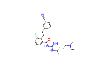 CCN(CC)CCCC(C)NC(=N)NC(=O)c1cccc(F)c1CCc1cccc(C#N)c1